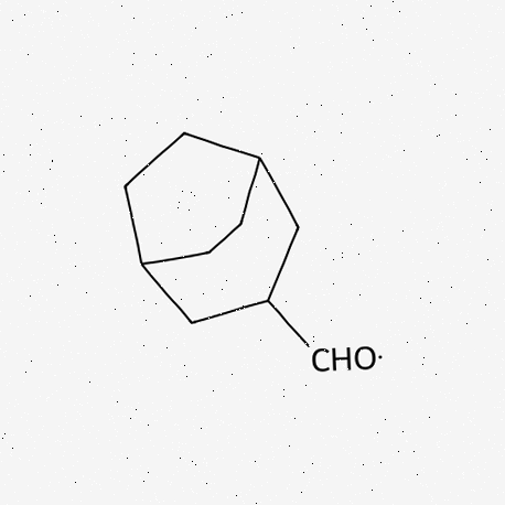 O=[C]C1CC2CCC(CC2)C1